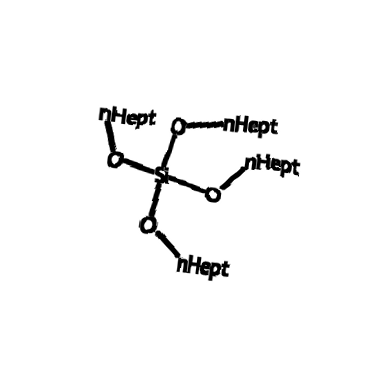 CCCCCCCO[Si](OCCCCCCC)(OCCCCCCC)OCCCCCCC